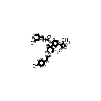 Cc1noc(C)c1-c1ccc2c(c1)C1(CCN(CC=Cc3ccc(Cl)cc3)CC1)CN2C(=O)NCc1ccnc(Cl)c1